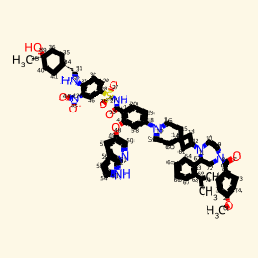 COc1ccc(C(=O)N2CCN(C3CC4(CCN(c5ccc(C(=O)NS(=O)(=O)c6ccc(NC[C@H]7CC[C@](C)(O)CC7)c([N+](=O)[O-])c6)c(Oc6cnc7[nH]ccc7c6)c5)CC4)C3)C(c3ccccc3C(C)C)C2)cc1